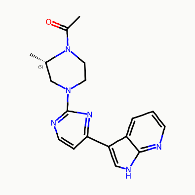 CC(=O)N1CCN(c2nccc(-c3c[nH]c4ncccc34)n2)C[C@@H]1C